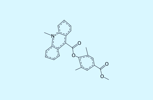 COC(=O)c1cc(C)c(OC(=O)c2c3ccccc3[n+](C)c3ccccc23)c(C)c1